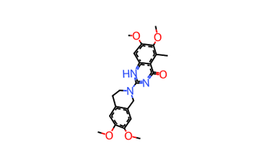 COc1cc2c(cc1OC)CN(c1nc(=O)c3c(C)c(OC)c(OC)cc3[nH]1)CC2